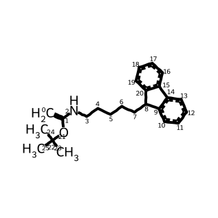 C=C(NCCCCCC1c2ccccc2-c2ccccc21)OC(C)(C)C